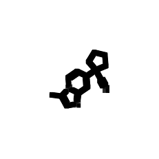 Cc1cnc2cc(C3(C#N)CCCC3)ccn12